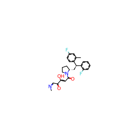 C/N=C\C(=O)/C(O)=C/C(=O)N1CCC[C@@H]1C[C@@H](c1ccc(F)cc1C)c1ccccc1F